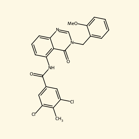 COc1ccccc1Cn1cnc2cccc(NC(=O)c3cc(Cl)c(C)c(Cl)c3)c2c1=O